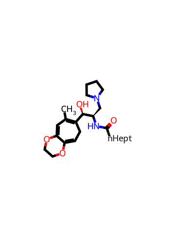 CCCCCCCC(=O)N[C@H](CN1CCCC1)[C@H](O)C1=C(C)C=C2OCCOC2=CC1